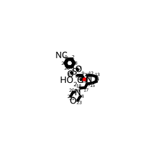 N#Cc1ccc(S(=O)(=O)CCCN2C3CCC2C(CCN2CCOCC2)N(C(=O)O)C3)cc1